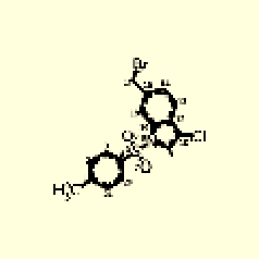 Cc1ccc(S(=O)(=O)n2cc(Cl)c3ccc(CBr)cc32)cc1